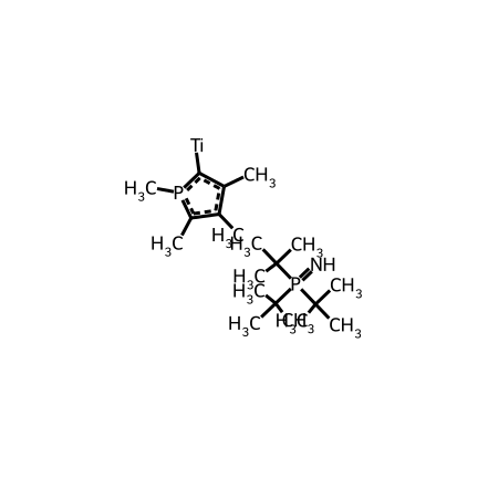 CC(C)(C)P(=N)(C(C)(C)C)C(C)(C)C.Cc1c(C)[c]([Ti])p(C)c1C